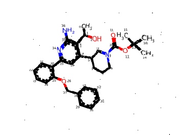 CC(O)c1c(C2CCCN(C(=O)OC(C)(C)C)C2)cc(-c2ccccc2OCc2ccccc2)nc1N